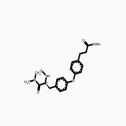 COC(=O)CCc1ccc(Oc2ccc(C[C@H](NCl)C(=O)N(C)C)cc2)cc1